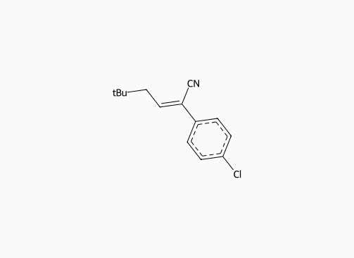 CC(C)(C)CC=C(C#N)c1ccc(Cl)cc1